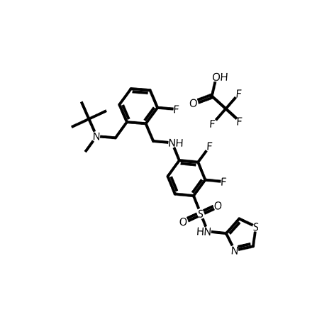 CN(Cc1cccc(F)c1CNc1ccc(S(=O)(=O)Nc2cscn2)c(F)c1F)C(C)(C)C.O=C(O)C(F)(F)F